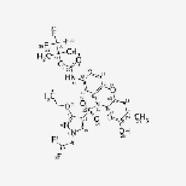 CCOc1nn(CC(F)F)cc1S(=O)(=O)N1C[C@H](C[C@H](C)C(=O)O)Oc2ccc(NC(=O)OC(C)(C)C(F)(F)F)cc21